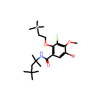 COc1c(Br)cc(C(=O)NC(C)(C)CC(C)(C)C)c(OCC[Si](C)(C)C)c1F